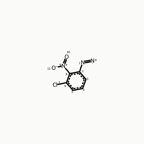 [N]=Nc1cccc(Cl)c1[N+](=O)[O-]